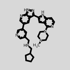 CN1CCN(c2nccc3[nH]c(-c4n[nH]c5ncc(-c6cncc(CNCC7CCCC7)c6)cc45)cc23)CC1